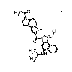 CC(=O)N1CCc2c1ccc1[nH]c(C(=O)N3C[C@@H](CCl)c4c3cc(NC(C)C)c3ccccc43)cc21